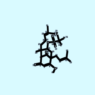 COC1=CC(=O)C2C(=O)C1(CC=C(C)C)CC(OS(=O)(=O)C(F)(F)F)C2(C)CCC=C(C)C